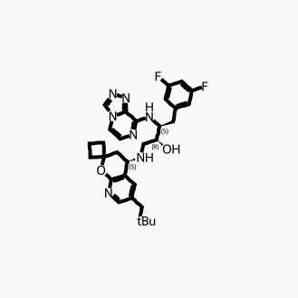 CC(C)(C)Cc1cnc2c(c1)[C@@H](NC[C@@H](O)[C@H](Cc1cc(F)cc(F)c1)Nc1nccn3cnnc13)CC1(CCC1)O2